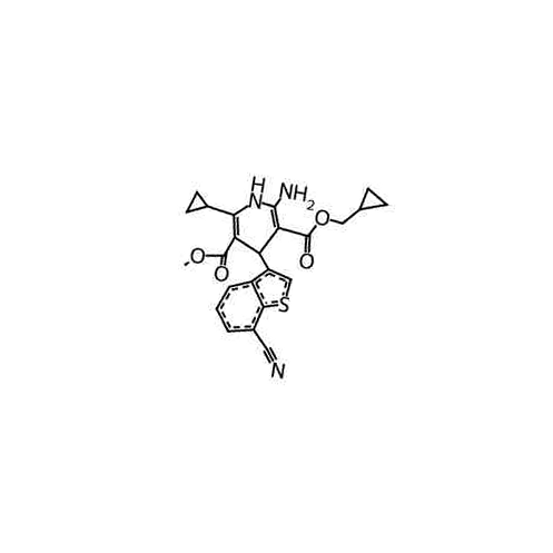 COC(=O)C1=C(C2CC2)NC(N)=C(C(=O)OCC2CC2)C1c1csc2c(C#N)cccc12